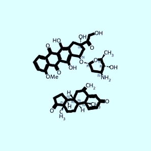 C=C1C[C@@H]2[C@H](CC[C@]3(C)C(=O)CC[C@@H]23)[C@@]2(C)C=CC(=O)C=C12.COc1cccc2c1C(=O)c1c(O)c3c(c(O)c1C2=O)C[C@@](O)(C(=O)CO)C[C@@H]3O[C@H]1C[C@H](N)[C@@H](O)[C@H](C)O1